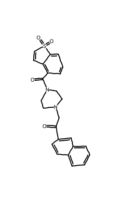 O=C(CN1CCN(C(=O)c2cccc3c2C=CS3(=O)=O)CC1)c1ccc2ccccc2c1